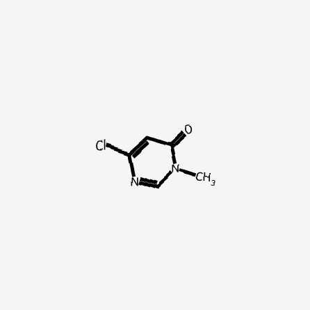 Cn1cnc(Cl)cc1=O